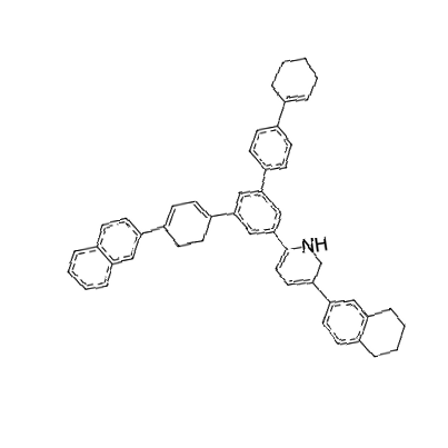 C1=C(c2ccc(-c3cc(C4=CC=C(c5ccc6ccccc6c5)CC4)cc(C4=CC=C(c5ccc6c(c5)CCCC6)CN4)c3)cc2)CCCC1